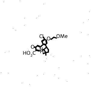 COCCCOc1cc2c(cc1Cl)-c1cc(=O)c(C(=O)O)cn1[C@@H]1C2CCC1(C)C